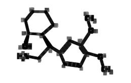 COc1ccc(C(CN)[C@@H]2CCCC[C@@H]2O)cc1OC